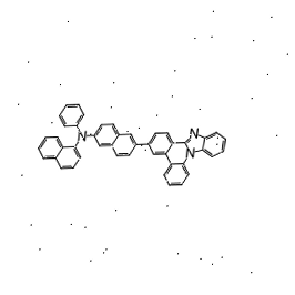 c1ccc(N(c2ccc3cc(-c4ccc5c(c4)c4ccccc4n4c6ccccc6nc54)ccc3c2)c2cccc3ccccc23)cc1